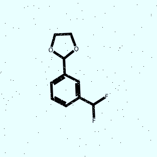 FC(F)c1cccc(C2OCCO2)c1